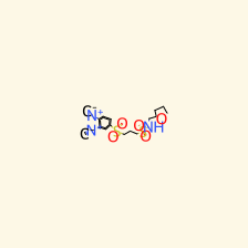 [C-]#[N+]c1ccc(S(=O)(=O)CCCS(=O)(=O)NCC2CCCO2)cc1[N+]#[C-]